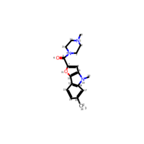 CN1CCN(C(=O)c2cc3c(o2)c2ccc(C(F)(F)F)cc2n3C)CC1